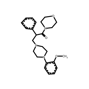 COc1ccccc1N1CCN(CC(C(=O)N2CCOCC2)c2ccccc2)CC1